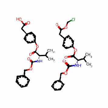 CC(C)[C@H](NC(=O)OCc1ccccc1)C(=O)Oc1ccc(CC(=O)O)cc1.CC(C)[C@H](NC(=O)OCc1ccccc1)C(=O)Oc1ccc(CC(=O)OCCl)cc1